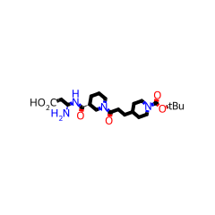 CC(C)(C)OC(=O)N1CCC(CCC(=O)N2CCC[C@@H](C(=O)N[C@H](N)CC(=O)O)C2)CC1